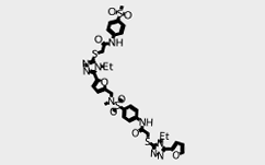 CCn1c(SCC(=O)Nc2ccc(S(=O)(=O)N(C)Cc3ccc(-c4nnc(SCC(=O)Nc5ccc(S(C)(=O)=O)cc5)n4CC)o3)cc2)nnc1-c1ccco1